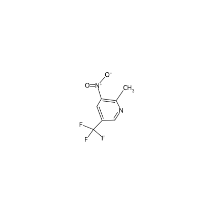 Cc1ncc(C(F)(F)F)cc1[N+](=O)[O-]